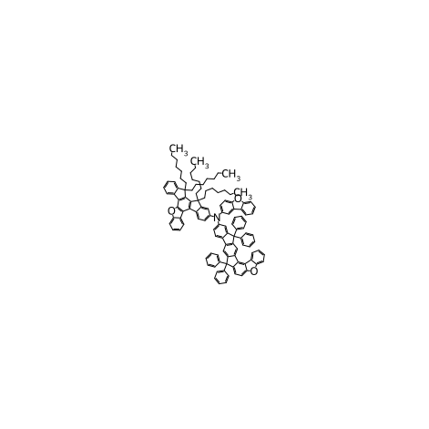 CCCCCCCC1(CCCCCCC)c2ccccc2-c2c1c1c(c3c2oc2ccccc23)-c2ccc(N(c3ccc4c(c3)C(c3ccccc3)(c3ccccc3)c3cc5c(cc3-4)C(c3ccccc3)(c3ccccc3)c3ccc4oc6ccccc6c4c3-5)c3ccc4oc5ccccc5c4c3)cc2C1(CCCCCCC)CCCCCCC